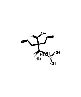 C=CCC(CC=C)(C(=O)O)C(=O)O.OB(O)O.[LiH]